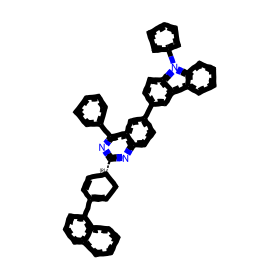 C1=C[C@H](c2nc(-c3ccccc3)c3cc(-c4ccc5c(c4)c4ccccc4n5-c4ccccc4)ccc3n2)CC=C1c1cccc2ccccc12